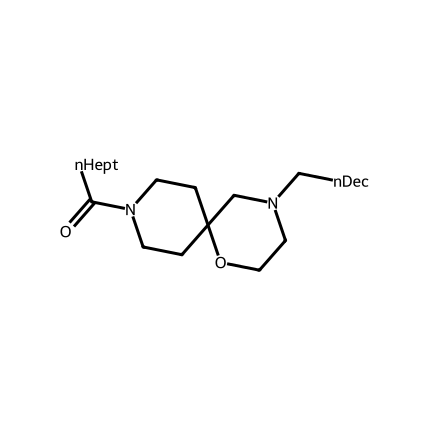 CCCCCCCCCCCN1CCOC2(CCN(C(=O)CCCCCCC)CC2)C1